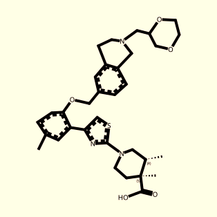 Cc1ccc(OCc2ccc3c(c2)CCN(CC2COCCO2)C3)c(-c2csc(N3CC[C@](C)(C(=O)O)[C@@H](C)C3)n2)c1